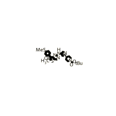 COc1cc(SC)ccc1-c1c(C)sc2cnc(Nc3cnn(C4CCN(C(=O)OC(C)(C)C)CC4)c3)nc12